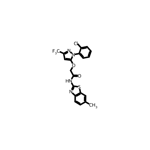 Cc1ccc2nc(NC(=O)COc3cc(C(F)(F)F)nn3-c3ccccc3Cl)sc2c1